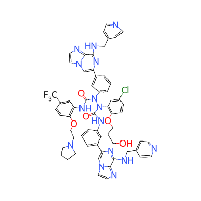 O=C(Nc1cc(C(F)(F)F)ccc1OCCN1CCCC1)N(c1cccc(-c2cn3ccnc3c(NCc3ccncc3)n2)c1)N(C(=O)Nc1cccc(-c2cn3ccnc3c(NCc3ccncc3)n2)c1)c1cc(Cl)ccc1OCCCO